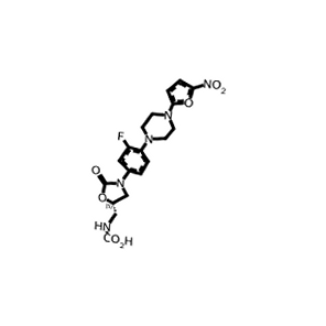 O=C(O)NC[C@H]1CN(c2ccc(N3CCN(c4ccc([N+](=O)[O-])o4)CC3)c(F)c2)C(=O)O1